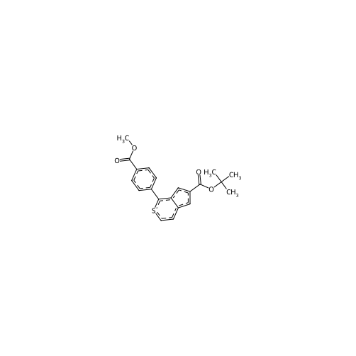 COC(=O)c1ccc(-c2sccc3cc(C(=O)OC(C)(C)C)cc2-3)cc1